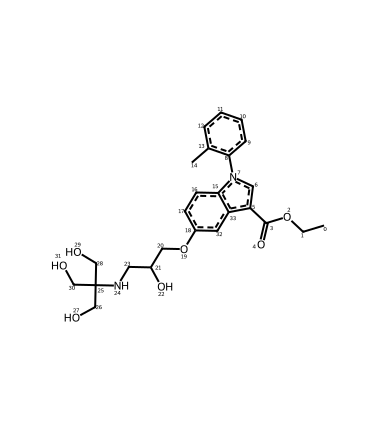 CCOC(=O)c1cn(-c2ccccc2C)c2ccc(OCC(O)CNC(CO)(CO)CO)cc12